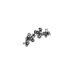 O=C(C1c2ccccc2CN1S(=O)(=O)c1ccc2[nH]c(=O)ccc2c1)N(Cc1ccco1)Cc1cc(-c2coc(CN(Cc3cccs3)C(=O)[C@@H](NSc3ccc4[nH]c(=O)[nH]c(=O)c4c3)c3ccccc3)c2)cs1